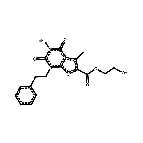 CCCn1c(=O)c2c(C)c(C(=O)OCCO)sc2n(CCc2ccccc2)c1=O